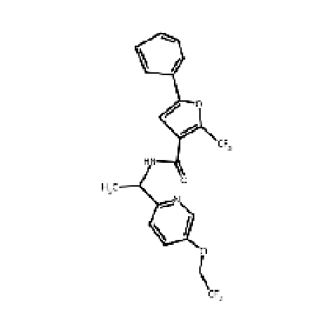 CC(NC(=O)c1cc(-c2ccccc2)oc1C(F)(F)F)c1ccc(OCC(F)(F)F)cn1